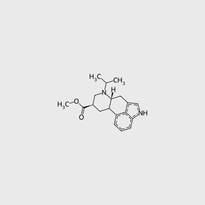 COC(=O)[C@@H]1CC2c3cccc4[nH]cc(c34)C[C@H]2N(C(C)C)C1